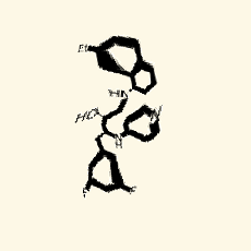 CCc1ccc2c(c1)[C@@H](NC[C@@H](O)[C@H](Cc1cc(F)cc(F)c1)Nc1ccncc1)CCC2